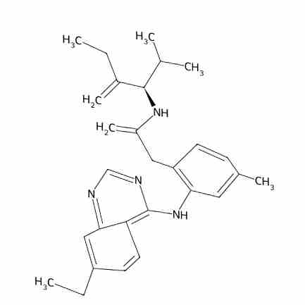 C=C(Cc1ccc(C)cc1Nc1ncnc2cc(CC)ccc12)N[C@@H](C(=C)CC)C(C)C